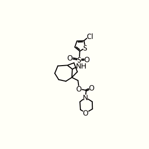 O=C(OCC12CCCCC(CC1)C2NS(=O)(=O)c1ccc(Cl)s1)N1CCOCC1